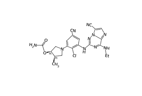 CCNc1nc(Nc2cc(C#N)cc(N3C[C@@H](C)[C@@H](OC(N)=O)C3)c2Cl)nn2c(C#N)cnc12